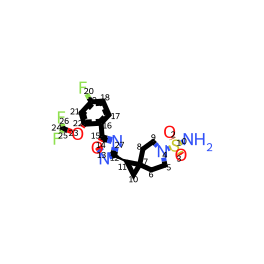 NS(=O)(=O)N1CCC2(CC1)C[C@H]2c1noc(-c2ccc(F)cc2OC(F)F)n1